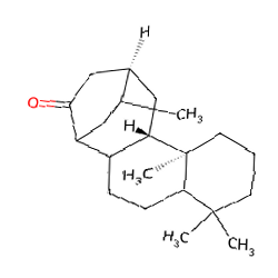 CC1CC2C(=O)C[C@H]1C[C@H]1C2CCC2C(C)(C)CCC[C@@]21C